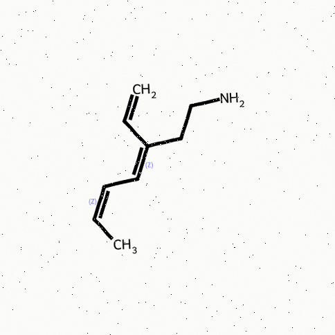 C=C/C(=C\C=C/C)CCN